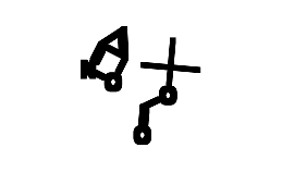 CC(C)(C)OC=O.c1c2noc1-2